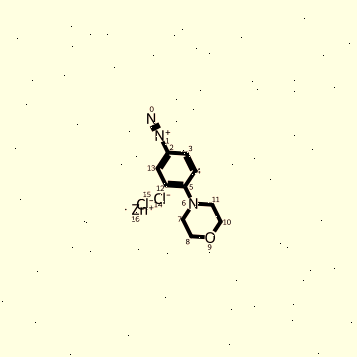 N#[N+]c1ccc(N2CCOCC2)cc1.[Cl-].[Cl-].[Zn+]